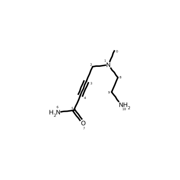 CN(CC#CC(N)=O)CCN